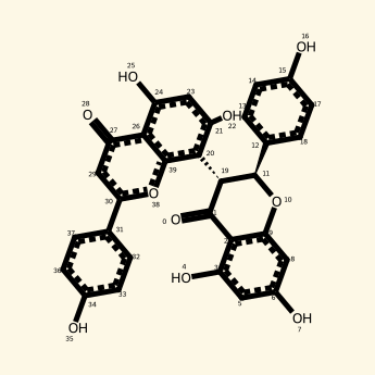 O=C1c2c(O)cc(O)cc2O[C@H](c2ccc(O)cc2)[C@H]1c1c(O)cc(O)c2c(=O)cc(-c3ccc(O)cc3)oc12